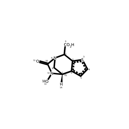 O=C(O)C1c2sccc2[C@H]2CN1C(=O)N2O